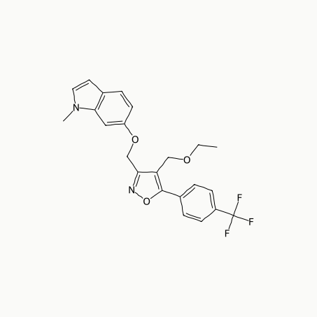 CCOCc1c(COc2ccc3ccn(C)c3c2)noc1-c1ccc(C(F)(F)F)cc1